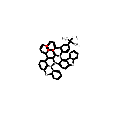 CC(C)(C)c1ccc(N2c3cc4ccccc4c4c3B(c3ccc5oc6ccccc6c5c32)N2c3ccccc3Oc3cccc-4c32)c(-c2ccccc2)c1